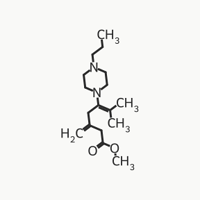 C=C(CC(=O)OC)CC(=C(C)C)N1CCN(CCC)CC1